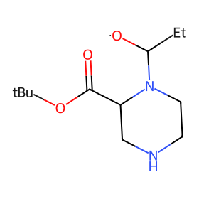 CCC([O])N1CCNCC1C(=O)OC(C)(C)C